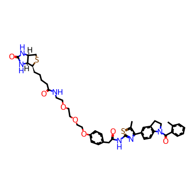 Cc1ccccc1C(=O)N1CCc2cc(-c3nc(NC(=O)Cc4ccc(OCCOCCOCCNC(=O)CCCC[C@@H]5SC[C@@H]6NC(=O)N[C@@H]65)cc4)sc3C)ccc21